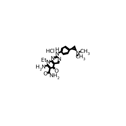 CCn1c(N)c(C(N)=O)c(=O)c2cnc(Nc3ccc(C4CC4N(C)C)cc3)nc21.Cl